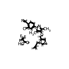 Cc1nn(-c2ccc(C#N)c(Cl)c2)c(C)c1OCc1cncn1CC1CC1.O=C(O)C(F)(F)F